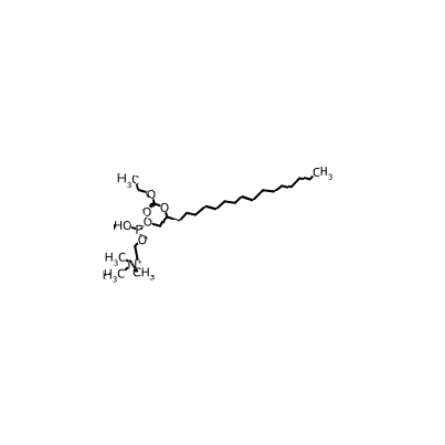 CCCCCCCCCCCCCCCCC(COP(O)OCC[N+](C)(C)C)OC(=O)OCC